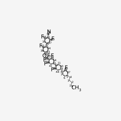 CCCCCc1ccc(-c2ccc(-c3cc(F)c(C(F)(F)Oc4ccc(-c5cc(F)c(C#N)c(F)c5)c(F)c4)c(F)c3)c(F)c2)c(F)c1